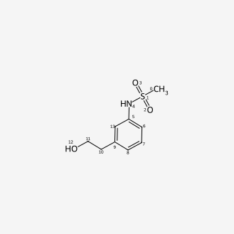 CS(=O)(=O)Nc1cccc(CCO)c1